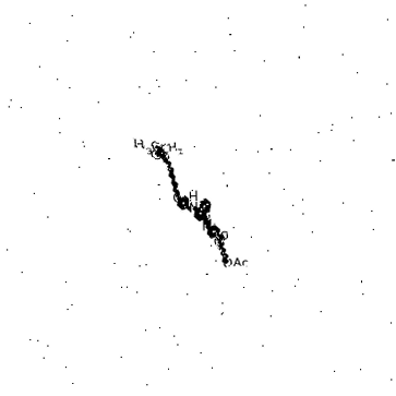 C=C(C)C(=O)OCCCCCCCCCCOc1ccc(CNc2ccc(/N=N/c3ccc(C(=O)OCCCCCCOC(C)=O)cc3)c3ccccc23)cc1